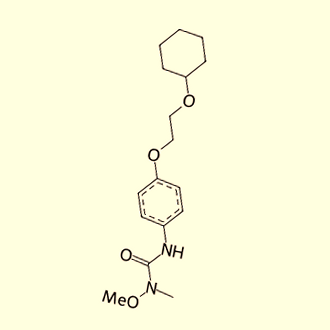 CON(C)C(=O)Nc1ccc(OCCOC2CCCCC2)cc1